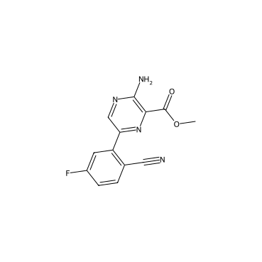 COC(=O)c1nc(-c2cc(F)ccc2C#N)cnc1N